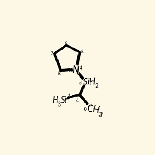 CC([SiH3])[SiH2]N1CCCC1